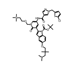 CN(C)CC(C)(C)COc1ccc2c(c1)cc(-c1cc(NC(=O)c3cnn(Cc4ccc(Cl)s4)c3)cn(COCC[Si](C)(C)C)c1=O)n2C(=O)OC(C)(C)C